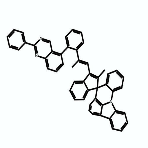 CC1=C(/C=C(\C)c2ccccc2-c2cccc3nc(-c4ccccc4)ncc23)c2ccccc2C12c1ccccc1-n1c3ccccc3c3cccc2c31